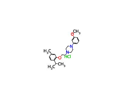 COc1cccc(N2CCN(CCOc3cc(C)ccc3C(C)C)CC2)c1.Cl